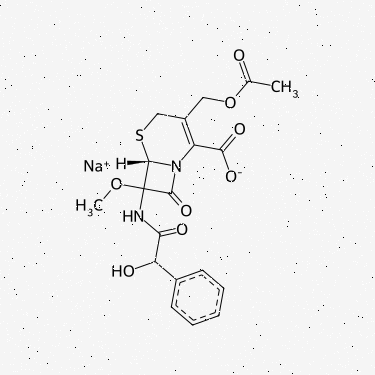 COC1(NC(=O)C(O)c2ccccc2)C(=O)N2C(C(=O)[O-])=C(COC(C)=O)CS[C@H]21.[Na+]